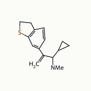 C=C(c1ccc2c(c1)SCC2)C(NC)C1CC1